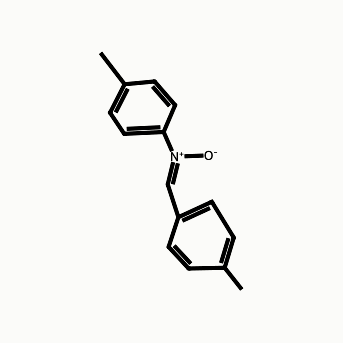 Cc1ccc(C=[N+]([O-])c2ccc(C)cc2)cc1